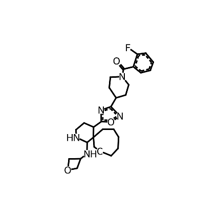 O=C(c1ccccc1F)N1CCC(c2noc(C3CCNC(NC4COC4)C34CCCCCCC4)n2)CC1